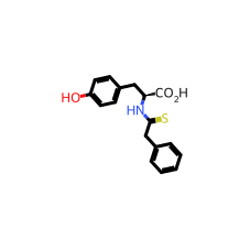 O=C(O)[C@H](Cc1ccc(O)cc1)NC(=S)Cc1ccccc1